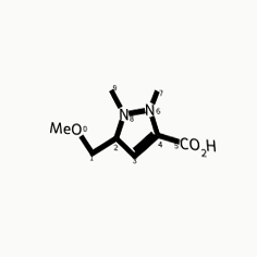 COCC1C=C(C(=O)O)N(C)N1C